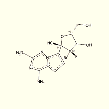 N#C[C@@]1(c2ccc3c(N)nc(N)nn23)O[C@H](CO)C(O)[C@]1(F)Br